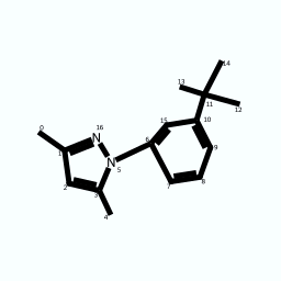 Cc1cc(C)n(-c2cccc(C(C)(C)C)c2)n1